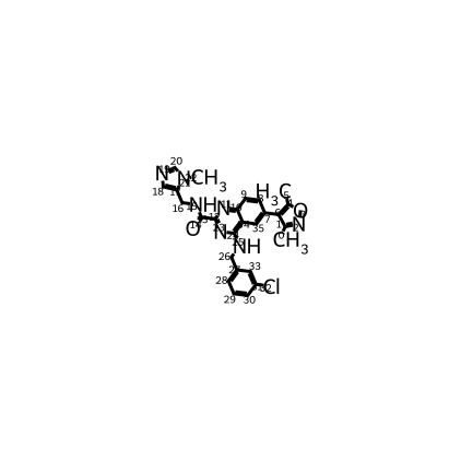 Cc1noc(C)c1-c1ccc2nc(C(=O)NCc3cncn3C)nc(NCc3cccc(Cl)c3)c2c1